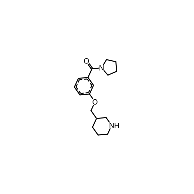 O=C(c1cccc(OCC2CCCNC2)c1)N1CCCC1